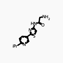 CC(C)c1ccc(-c2nc(NC(=O)CN)cs2)cn1